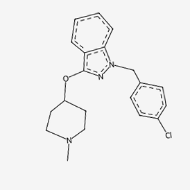 CN1CCC(Oc2nn(Cc3ccc(Cl)cc3)c3ccccc23)CC1